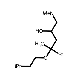 CCC(C)(CC(O)CNC)OCCC(C)C